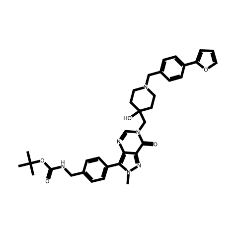 Cn1nc2c(=O)n(CC3(O)CCN(Cc4ccc(-c5ccco5)cc4)CC3)cnc2c1-c1ccc(CNC(=O)OC(C)(C)C)cc1